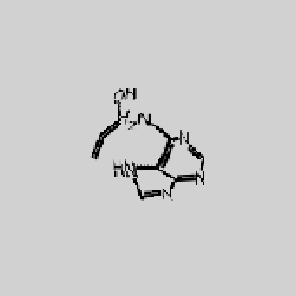 C=C=CO.Nc1ncnc2nc[nH]c12